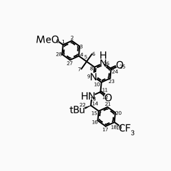 COc1ccc(C(C)(C)c2nc(C(=O)N[C@@H](c3ccc(C(F)(F)F)cc3)C(C)(C)C)cc(=O)[nH]2)cc1